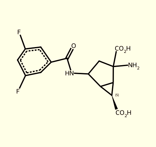 NC1(C(=O)O)CC(NC(=O)c2cc(F)cc(F)c2)C2C1[C@H]2C(=O)O